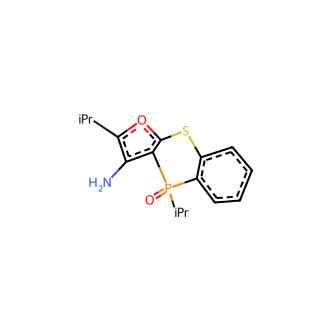 CC(C)c1oc2c(c1N)P(=O)(C(C)C)c1ccccc1S2